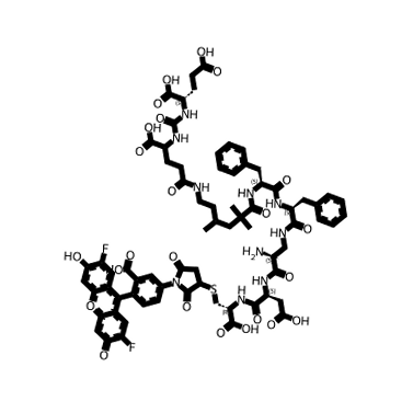 CC(CCNC(=O)CCC(NC(=O)N[C@@H](CCC(=O)O)C(=O)O)C(=O)O)CC(C)(C)C(=O)N[C@@H](Cc1ccccc1)C(=O)N[C@@H](Cc1ccccc1)C(=O)NC[C@H](N)C(=O)N[C@@H](CC(=O)O)C(=O)N[C@@H](CSC1CC(=O)N(c2ccc(-c3c4cc(F)c(=O)cc-4oc4cc(O)c(F)cc34)c(C(=O)O)c2)C1=O)C(=O)O